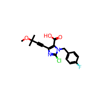 COC(C)(C)C#Cc1nc(Cl)n(Cc2ccc(F)cc2)c1C(=O)O